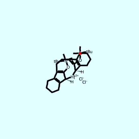 CC(C)(C)[Si](C)(C)OC1=C2CCC3=C(O[Si](C)(C)C(C)(C)C)[C@@H]([Hf+2][C@@H]1C1=C2CCCC1)C1=C3CCCC1.[Cl-].[Cl-]